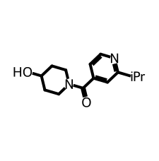 CC(C)c1cc(C(=O)N2CCC(O)CC2)ccn1